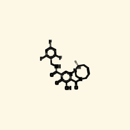 C[C@@H]1CC=CCN2CN1n1cc(C(=O)NCc3c(F)cc(F)cc3F)c(=O)c(O)c1C2=O